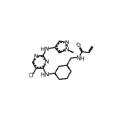 C=CC(=O)NCC1CCCC(Nc2nc(Nc3cnn(C)c3)ncc2Cl)C1